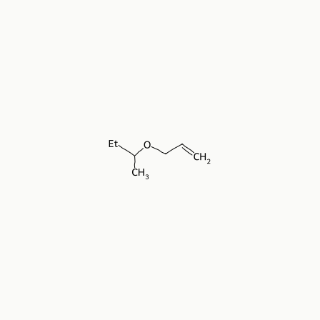 C=CCOC(C)CC